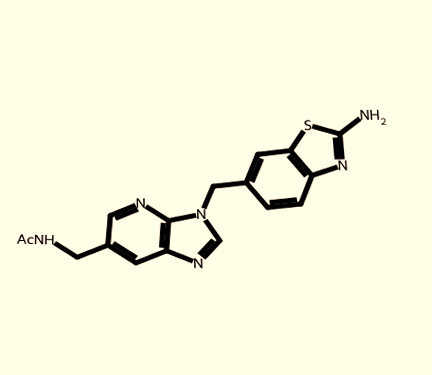 CC(=O)NCc1cnc2c(c1)ncn2Cc1ccc2nc(N)sc2c1